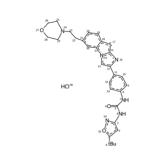 CC(C)(C)c1cc(NC(=O)Nc2ccc(-c3cn4c(n3)sc3ccc(CCN5CCOCC5)cc34)cc2)no1.Cl